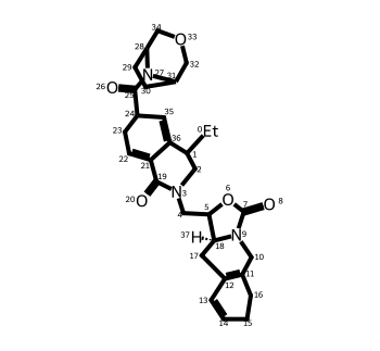 CCC1CN(CC2OC(=O)N3CC4=C(C=CCC4)C[C@@H]23)C(=O)C2=CCC(C(=O)N3C4CCC3COC4)C=C21